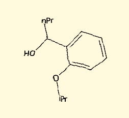 CCCC(O)c1ccccc1OC(C)C